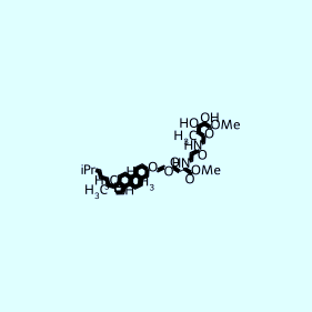 COC(=O)[C@H](CC(=O)OCCOC1CC[C@]2(C)C(=CC[C@@H]3[C@H]4CC[C@@H]([C@@H](C)CCCC(C)C)[C@]4(C)CC[C@H]32)C1)NCCC(=O)NCC1OC(OC)[C@@H](O)[C@@H](O)[C@H]1C